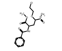 COC(=O)C(CC(OCCCl)[PH](C)=O)NC(=O)c1ccccc1